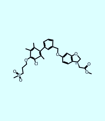 COC(=O)C[C@@H]1COc2cc(OCc3cccc(-c4c(C)c(C)c(OCCCS(C)(=O)=O)c(Cl)c4C)c3)ccc21